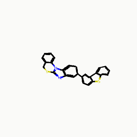 c1ccc2c(c1)CSc1nc3cc(-c4ccc5sc6ccccc6c5c4)ccc3n1-2